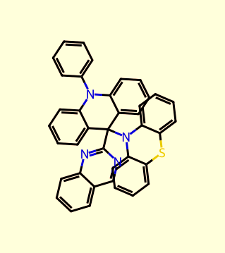 c1ccc(N2c3ccccc3C(c3ncc4ccccc4n3)(N3c4ccccc4Sc4ccccc43)c3ccccc32)cc1